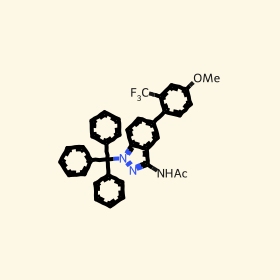 COc1ccc(-c2ccc3c(c2)c(NC(C)=O)nn3C(c2ccccc2)(c2ccccc2)c2ccccc2)c(C(F)(F)F)c1